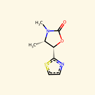 C[C@H]1[C@@H](c2nccs2)OC(=O)N1C